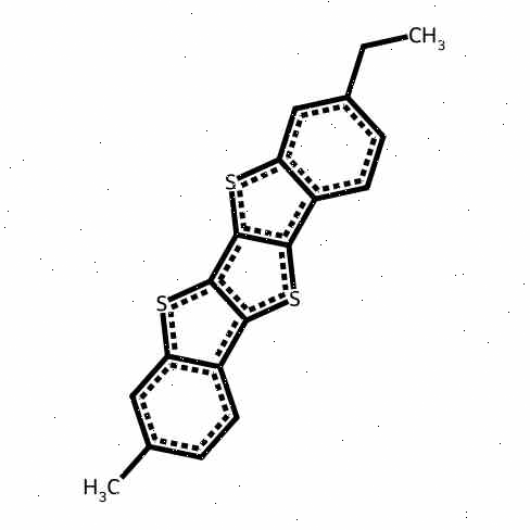 CCc1ccc2c(c1)sc1c2sc2c3ccc(C)cc3sc21